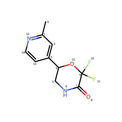 Cc1cc(C2CNC(=O)C(F)(F)O2)ccn1